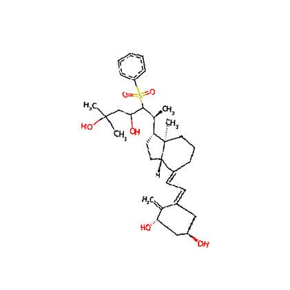 C=C1C(=CC=C2CCC[C@]3(C)[C@@H]([C@H](C)C(C(O)CC(C)(C)O)S(=O)(=O)c4ccccc4)CC[C@@H]23)C[C@@H](O)C[C@@H]1O